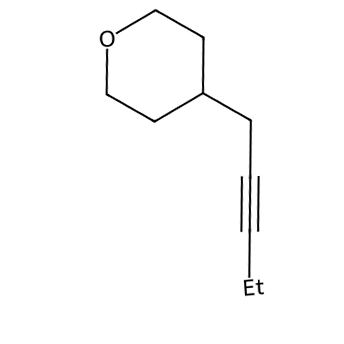 CCC#CCC1CCOCC1